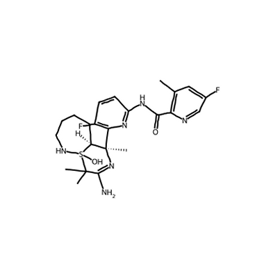 Cc1cc(F)cnc1C(=O)Nc1ccc(F)c([C@@]2(C)N=C(N)C(C)(C)S3(O)NCCCC[C@@H]23)n1